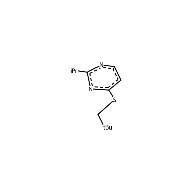 CC(C)c1nccc(SCC(C)(C)C)n1